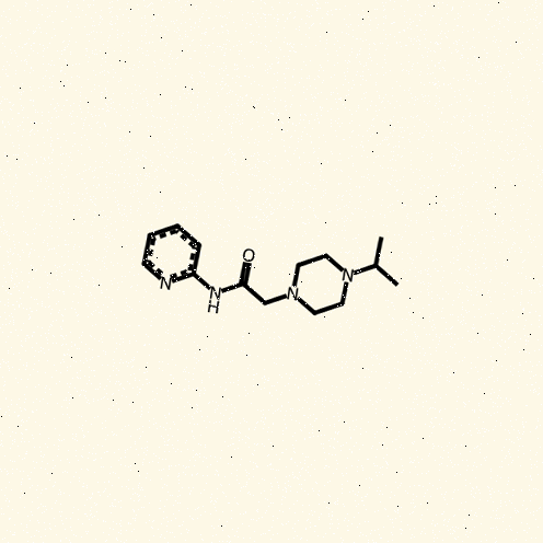 CC(C)N1CCN(CC(=O)Nc2ccccn2)CC1